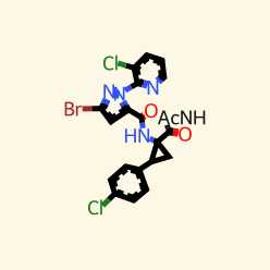 CC(=O)NC(=O)C1(NC(=O)c2cc(Br)nn2-c2ncccc2Cl)CC1c1ccc(Cl)cc1